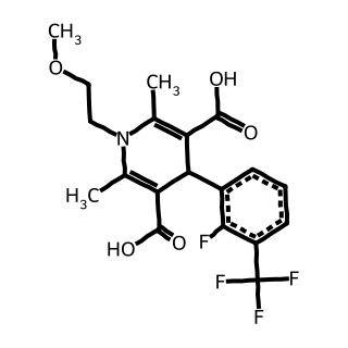 COCCN1C(C)=C(C(=O)O)C(c2cccc(C(F)(F)F)c2F)C(C(=O)O)=C1C